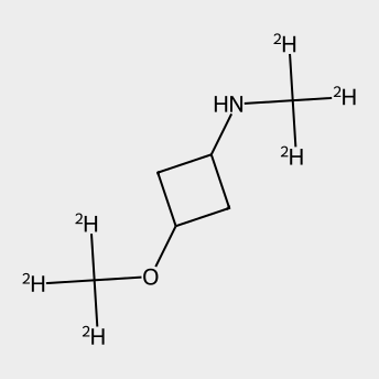 [2H]C([2H])([2H])NC1CC(OC([2H])([2H])[2H])C1